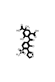 CC1(C(=O)O)C=C(O)C(C(=O)c2ccc(S(C)(=O)=O)c(C3=NOCC3)c2Cl)=C(C(=O)O)C1